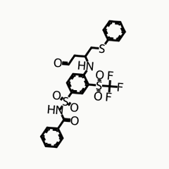 O=CCC(CSc1ccccc1)Nc1ccc(S(=O)(=O)NC(=O)c2ccccc2)cc1S(=O)(=O)C(F)(F)F